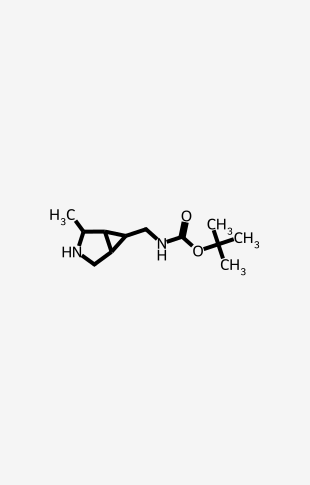 CC1NCC2C(CNC(=O)OC(C)(C)C)C12